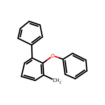 [CH2]c1cccc(-c2ccccc2)c1Oc1ccccc1